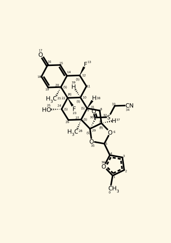 Cc1ccc(C2O[C@@H]3C[C@H]4[C@@H]5C[C@H](F)C6=CC(=O)C=C[C@]6(C)[C@@]5(F)[C@@H](O)C[C@]4(C)[C@]3(C(=O)SCC#N)O2)o1